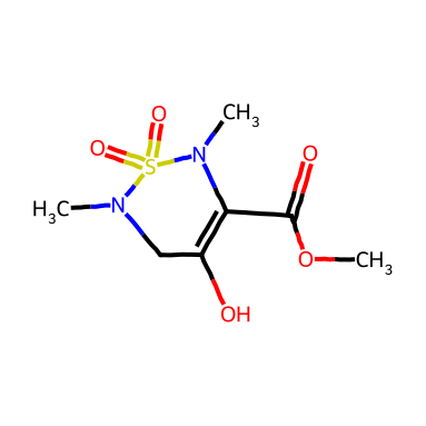 COC(=O)C1=C(O)CN(C)S(=O)(=O)N1C